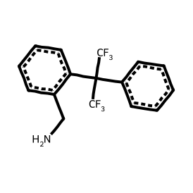 NCc1ccccc1C(c1ccccc1)(C(F)(F)F)C(F)(F)F